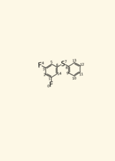 Fc1cc(F)cc(Sc2ccccc2)c1